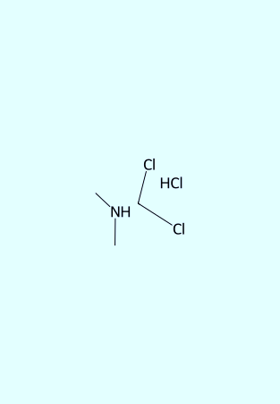 CNC.Cl.ClCCl